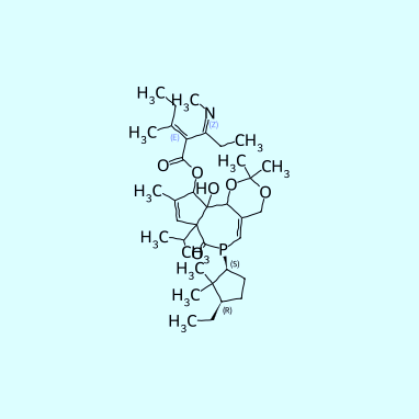 CCC(=N/C)/C(C(=O)OC1C(C)=CC2(C(C)C)C(=O)P([C@H]3CC[C@@H](CC)C3(C)C)C=C3COC(C)(C)OC3C12O)=C(/C)CC